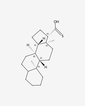 C[C@]12CC[C@H]3[C@@H](CCC4CCCC[C@@]43C)[C@@H]1CC[C@@H]2C(O)=S